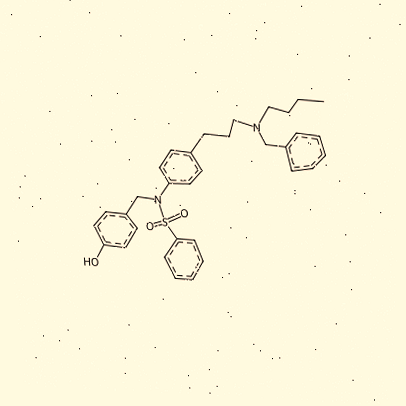 CCCCN(CCCc1ccc(N(Cc2ccc(O)cc2)S(=O)(=O)c2ccccc2)cc1)Cc1ccccc1